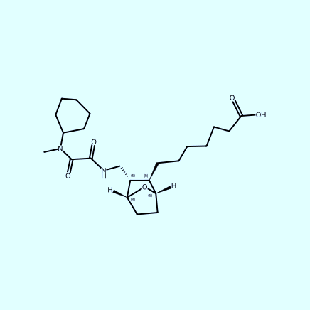 CN(C(=O)C(=O)NC[C@@H]1[C@@H](CCCCCCC(=O)O)[C@@H]2CC[C@H]1O2)C1CCCCC1